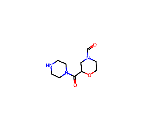 O=[C]N1CCOC(C(=O)N2CCNCC2)C1